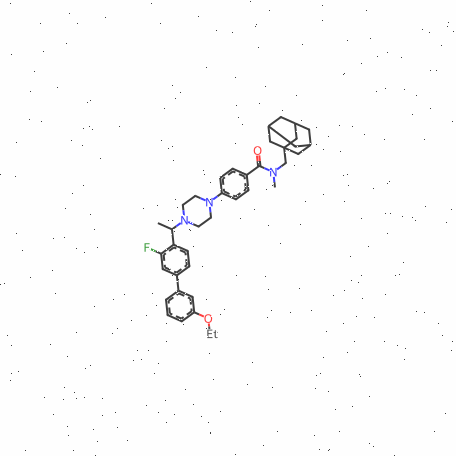 CCOc1cccc(-c2ccc(C(C)N3CCN(c4ccc(C(=O)N(C)CC56CC7CC(CC(C7)C5)C6)cc4)CC3)c(F)c2)c1